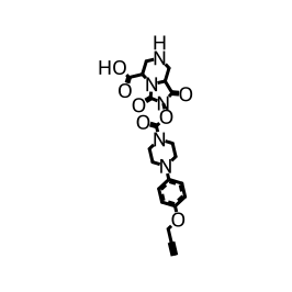 C#CCOc1ccc(N2CCN(C(=O)ON3C(=O)C4CNCC(C(=O)O)N4C3=O)CC2)cc1